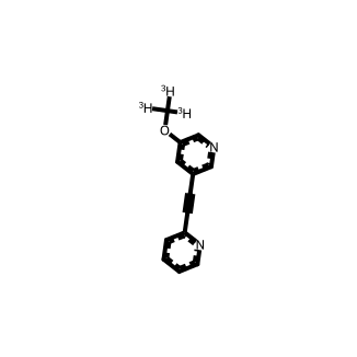 [3H]C([3H])([3H])Oc1cncc(C#Cc2ccccn2)c1